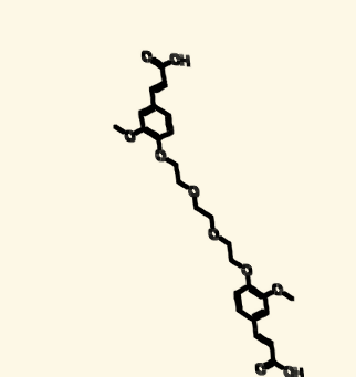 COc1cc(/C=C/C(=O)O)ccc1OCCOCCOCCOc1ccc(/C=C/C(=O)O)cc1OC